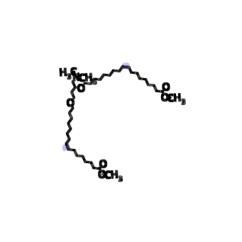 COC(=O)CCCCCC/C=C\CCCCCCCOCCC(CN(C)C)OCCCCCCCC/C=C\CCCCCCCC(=O)OC